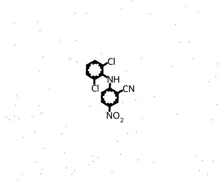 N#Cc1cc([N+](=O)[O-])ccc1Nc1c(Cl)cccc1Cl